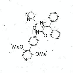 COc1cncc(OC)c1-c1ccc(NC(=O)[C@@H](NC(=O)c2ccnn2C)C(c2ccccc2)c2ccccc2)cc1